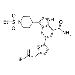 CCS(=O)(=O)N1CCC(c2c[nH]c3c(C(N)=O)cc(-c4ccc(CNC(C)C)s4)cc23)CC1